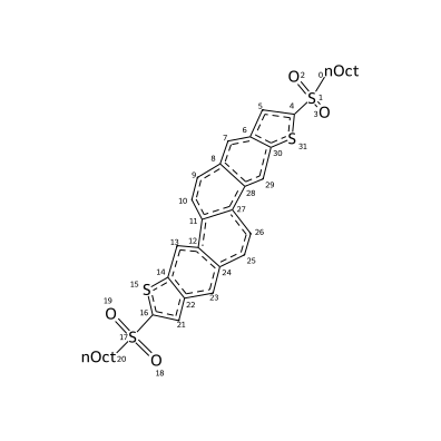 CCCCCCCCS(=O)(=O)c1cc2cc3ccc4c5cc6sc(S(=O)(=O)CCCCCCCC)cc6cc5ccc4c3cc2s1